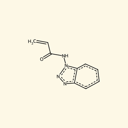 C=CC(=O)Nn1nnc2ccccc21